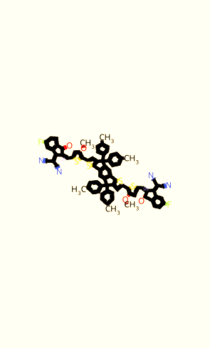 COc1cc(/C=C2\C(=O)c3ccc(F)cc3C2=C(C#N)C#N)sc1-c1cc2c(s1)-c1cc3c(cc1C2(c1ccc(C)cc1)c1ccc(C)cc1)-c1sc(-c2sc(/C=C4\C(=O)c5ccc(F)cc5C4=C(C#N)C#N)cc2OC)cc1C3(c1ccc(C)cc1)c1ccc(C)cc1